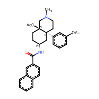 CC(=O)Oc1cccc([C@@]23CCN(C)C[C@@]2(OC(C)=O)CC[C@@H](NC(=O)c2ccc4ccccc4c2)C3)c1